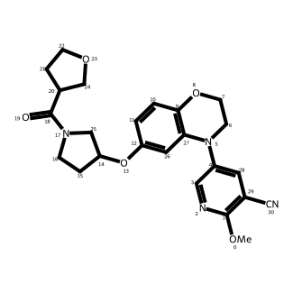 COc1ncc(N2CCOc3ccc(OC4CCN(C(=O)C5CCOC5)C4)cc32)cc1C#N